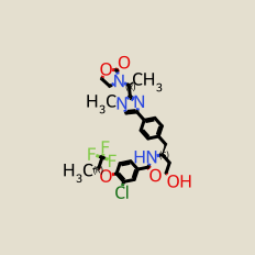 C[C@H](c1nc(-c2ccc(C[C@@H](CCO)NC(=O)c3ccc(O[C@H](C)C(F)(F)F)c(Cl)c3)cc2)cn1C)N1CCOC1=O